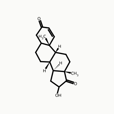 C[C@]12C=CC(=O)CC1CC[C@@H]1[C@H]2CC[C@]2(C)C(=O)C(O)C[C@@H]12